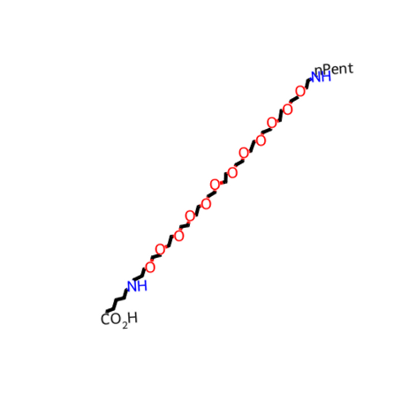 CCCCCNCCOCCOCCOCCOCCOCCOCCOCCOCCOCCOCCOCCOCCCNCCCCCC(=O)O